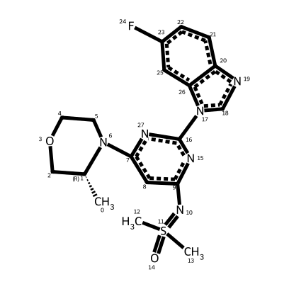 C[C@@H]1COCCN1c1cc(N=S(C)(C)=O)nc(-n2cnc3ccc(F)cc32)n1